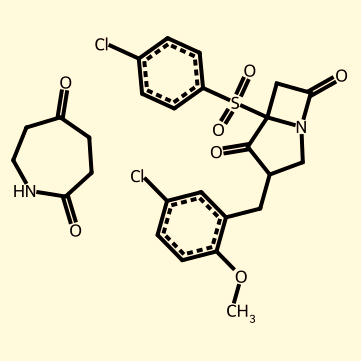 COc1ccc(Cl)cc1CC1CN2C(=O)CC2(S(=O)(=O)c2ccc(Cl)cc2)C1=O.O=C1CCNC(=O)CC1